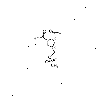 CS(=O)(=O)OC[C@@H]1C[C@@H](C(=O)O)N(C(=O)O)C1